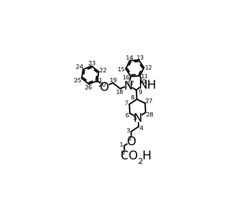 O=C(O)COCCN1CCC(C2Nc3ccccc3N2CCOc2ccccc2)CC1